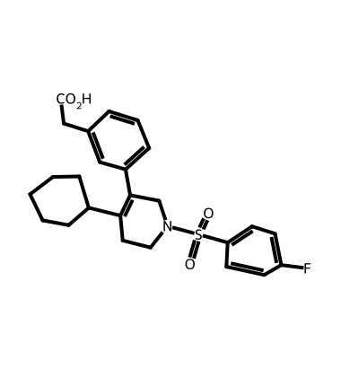 O=C(O)Cc1cccc(C2=C(C3CCCCC3)CCN(S(=O)(=O)c3ccc(F)cc3)C2)c1